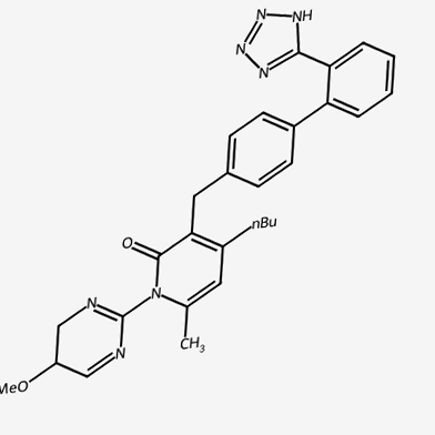 CCCCc1cc(C)n(C2=NCC(OC)C=N2)c(=O)c1Cc1ccc(-c2ccccc2-c2nnn[nH]2)cc1